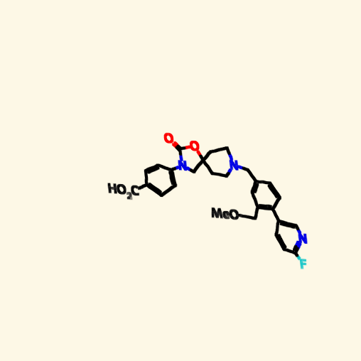 COCc1cc(CN2CCC3(CC2)CN(c2ccc(C(=O)O)cc2)C(=O)O3)ccc1-c1ccc(F)nc1